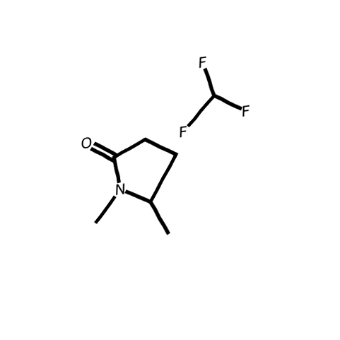 CC1CCC(=O)N1C.FC(F)F